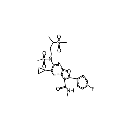 CNC(=O)c1c(-c2ccc(F)cc2)oc2nc(N(CCC(C)S(C)(=O)=O)S(C)(=O)=O)c(C3CC3)cc12